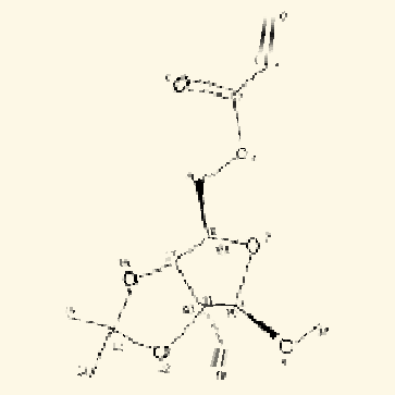 C=CC(=O)OC[C@H]1O[C@@H](OC)[C@H]2OC(C)(C)OC12